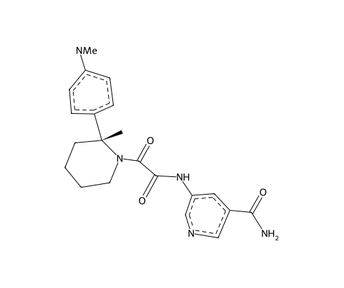 CNc1ccc([C@@]2(C)CCCCN2C(=O)C(=O)Nc2cncc(C(N)=O)c2)cc1